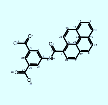 O=C(Cl)c1cc(NC(=O)c2ccc3ccc4cccc5ccc2c3c45)cc(C(=O)Cl)c1